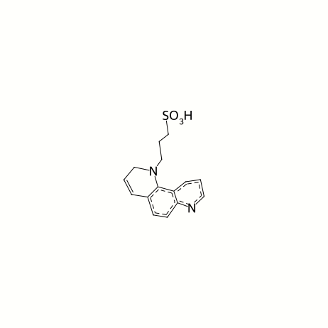 O=S(=O)(O)CCCN1CC=Cc2ccc3ncccc3c21